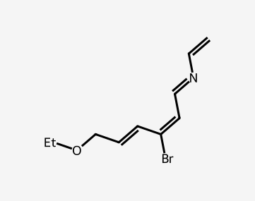 C=C/N=C/C=C(Br)\C=C\COCC